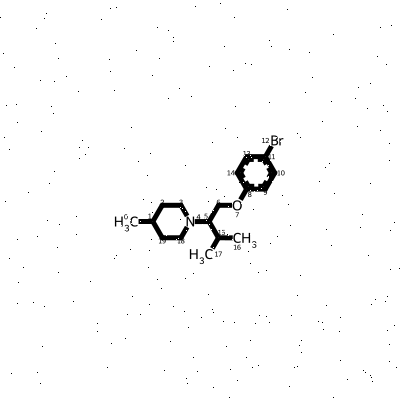 CC1CCN(C(COc2ccc(Br)cc2)C(C)C)CC1